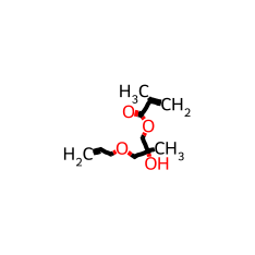 C=CCOCC(C)(O)COC(=O)C(=C)C